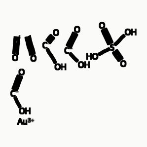 O=S(=O)(O)O.O=[C-]O.O=[C-]O.O=[C-]O.[Au+3].[C]=O.[C]=O